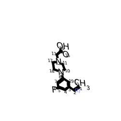 C/C=C\c1cc(F)cc(N2CCN(CC(=O)O)CC2)c1